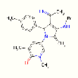 C=C1C(NC(C)C)=C(C(C)=N)C(c2ccc(C)cc2)N1c1cc(C)c(=O)n(C)c1